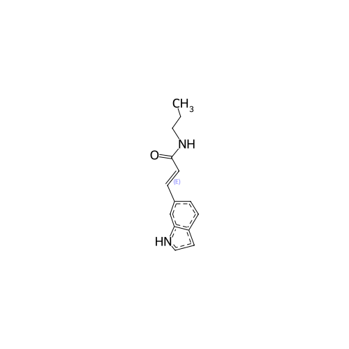 CCCNC(=O)/C=C/c1ccc2cc[nH]c2c1